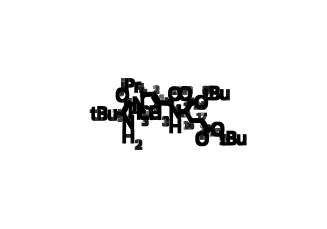 C/C(=C\[C@H](C(C)C)N(C)C(=O)[C@@H](N)C(C)(C)C)C(=O)N[C@H](CCC(=O)OC(C)(C)C)C(=O)OC(C)(C)C